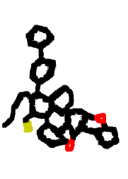 CC/C=C\c1c(C=S)c(-c2cccc3oc4c(ccc5oc6ccccc6c54)c23)c2c(c1-c1ccc(-c3ccccc3)cc1)=CCCC=2